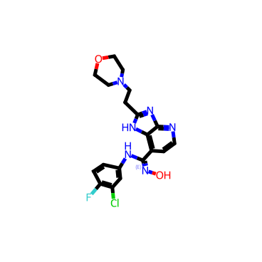 O/N=C(/Nc1ccc(F)c(Cl)c1)c1ccnc2nc(CCN3CCOCC3)[nH]c12